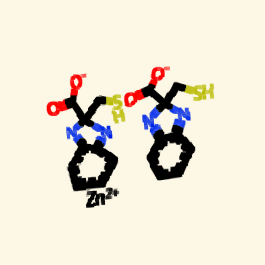 O=C([O-])C1(CS)N=c2ccccc2=N1.O=C([O-])C1(CS)N=c2ccccc2=N1.[Zn+2]